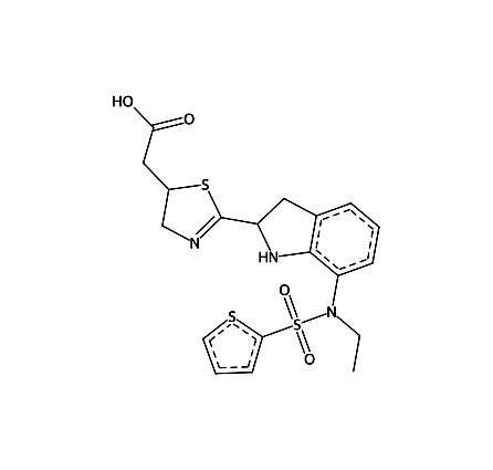 CCN(c1cccc2c1NC(C1=NCC(CC(=O)O)S1)C2)S(=O)(=O)c1cccs1